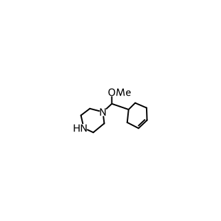 COC(C1CC=CCC1)N1CCNCC1